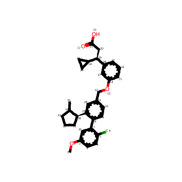 COc1ccc(F)c(-c2ccc(COc3cccc([C@H](CC(=O)O)C4CC4)c3)cc2[C@H]2CCCC2C)c1